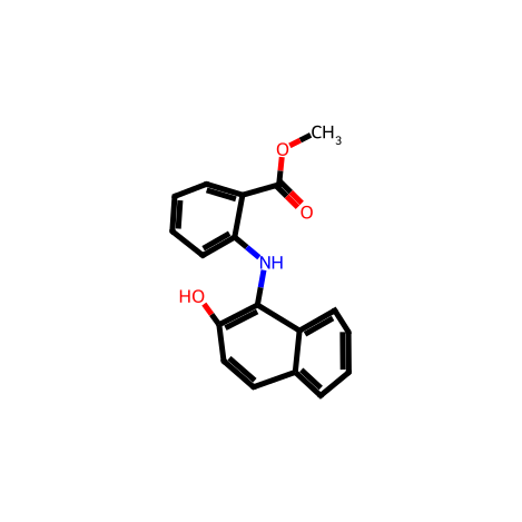 COC(=O)c1ccccc1Nc1c(O)ccc2ccccc12